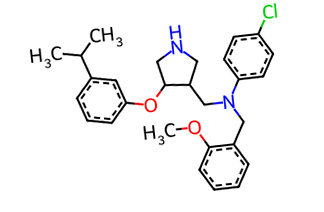 COc1ccccc1CN(CC1CNCC1Oc1cccc(C(C)C)c1)c1ccc(Cl)cc1